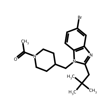 CC(=O)N1CCC(Cn2c(CC(C)(C)C)nc3cc(Br)ccc32)CC1